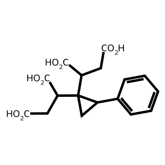 O=C(O)CC(C(=O)O)C1(C(CC(=O)O)C(=O)O)CC1c1ccccc1